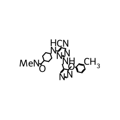 CNC(=O)C1CCC(Nc2nc(NCc3cncnc3Oc3cccc(C)c3)ncc2C#N)CC1